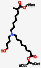 CCCCCCCCCOC(=O)C(C)CCCCCCN(CCCCO)CCCCCCCC(=O)OC(CCCCCCCC)CCCCCCCC